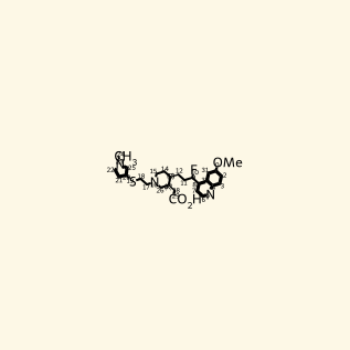 COc1ccc2nccc(C(F)CC[C@@H]3CCN(CCSc4ccn(C)c4)C[C@@H]3CC(=O)O)c2c1